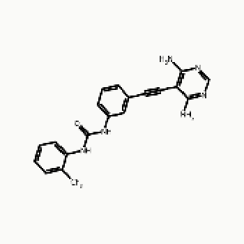 Nc1ncnc(N)c1C#Cc1cccc(NC(=O)Nc2ccccc2C(F)(F)F)c1